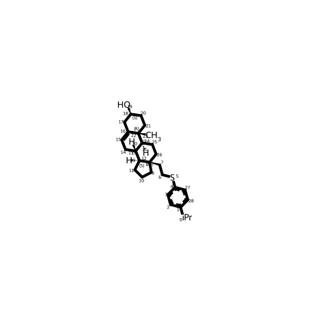 CC(C)c1ccc(SCC[C@@]23CCC[C@H]2[C@@H]2CC=C4C[C@@H](O)CC[C@]4(C)[C@H]2CC3)cc1